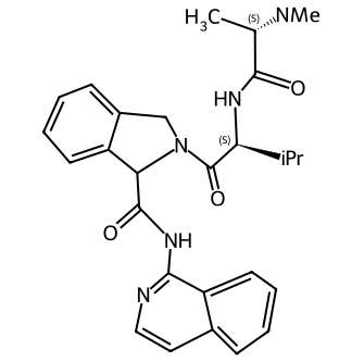 CN[C@@H](C)C(=O)N[C@H](C(=O)N1Cc2ccccc2C1C(=O)Nc1nccc2ccccc12)C(C)C